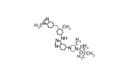 Cc1cc(Nc2ncnc3ccc(N4CCN(C(=O)OC(C)(C)C)[C@H](C)C4)cc23)ccc1Cc1ccc2c(c1)ncn2C